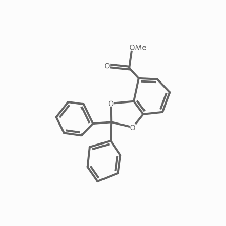 COC(=O)c1cccc2c1OC(c1ccccc1)(c1ccccc1)O2